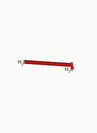 B#S(=BB=BB=BB=BB=BB=BB=BB=BB=BB=BB=BB=BB=BB=BB=BB=BB=BB=BB=BB=BB)C#CC=C